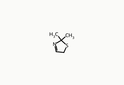 CC1(C)N=CCS1